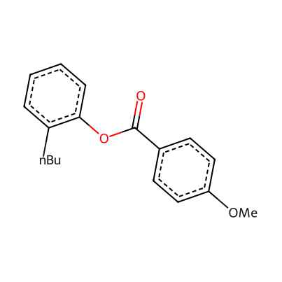 CCCCc1ccccc1OC(=O)c1ccc(OC)cc1